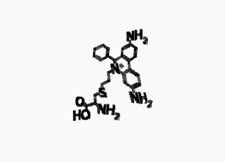 Nc1ccc2c(c1)c(-c1ccccc1)[n+](CCCSCC(N)C(=O)O)c1cc(N)ccc21